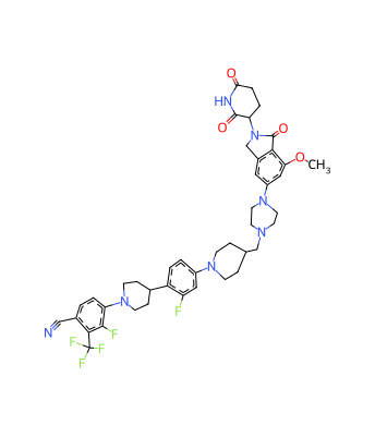 COc1cc(N2CCN(CC3CCN(c4ccc(C5CCN(c6ccc(C#N)c(C(F)(F)F)c6F)CC5)c(F)c4)CC3)CC2)cc2c1C(=O)N(C1CCC(=O)NC1=O)C2